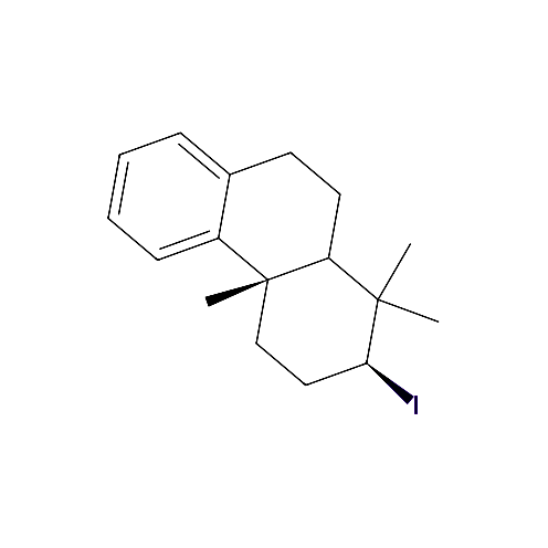 CC1(C)C2CCc3ccccc3[C@@]2(C)CC[C@@H]1I